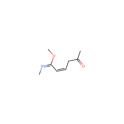 C/N=C(\C=C/CC(C)=O)OC